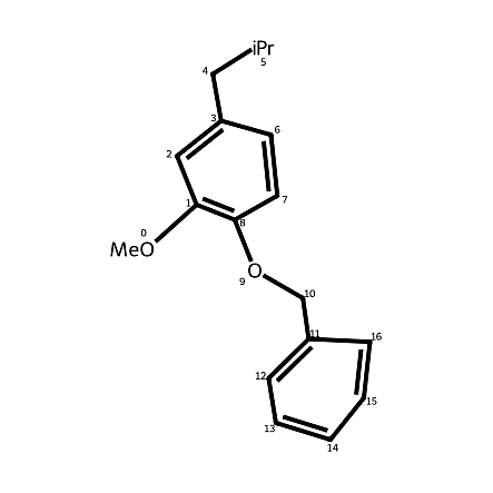 [CH2]Oc1cc(CC(C)C)ccc1OCc1ccccc1